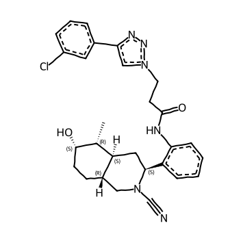 C[C@@H]1[C@H]2C[C@@H](c3ccccc3NC(=O)CCn3cc(-c4cccc(Cl)c4)nn3)N(C#N)C[C@@H]2CC[C@@H]1O